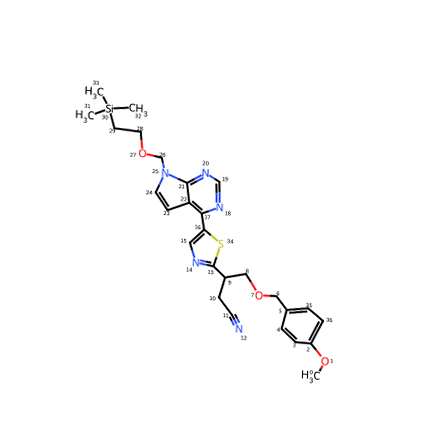 COc1ccc(COCC(CC#N)c2ncc(-c3ncnc4c3ccn4COCC[Si](C)(C)C)s2)cc1